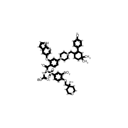 CCC(C)C(=O)ON(C(=O)c1ccc(N2CCN(CC3=C(c4ccc(Cl)cc4)CC(C)(C)CC3)CC2)cc1Oc1cnc2[nH]ccc2c1)S(=O)(=O)c1ccc(OCC2(F)CCOCC2)c([N+](=O)[O-])c1